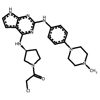 CN1CCN(c2ccc(Nc3nc(N[C@H]4CCN(C(=O)CCl)C4)c4cc[nH]c4n3)cc2)CC1